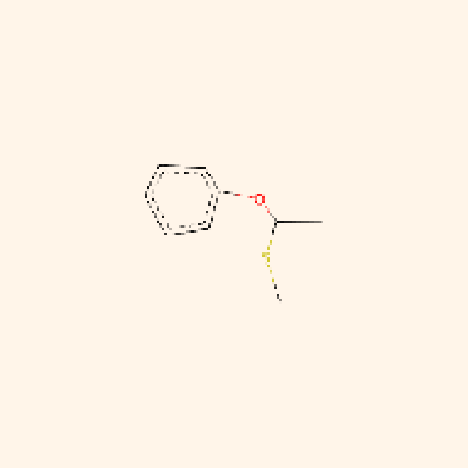 CSC(C)Oc1ccccc1